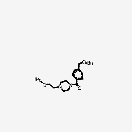 CC(C)COCc1ccc(C(=O)N2CCN(CCOC(C)C)CC2)cc1